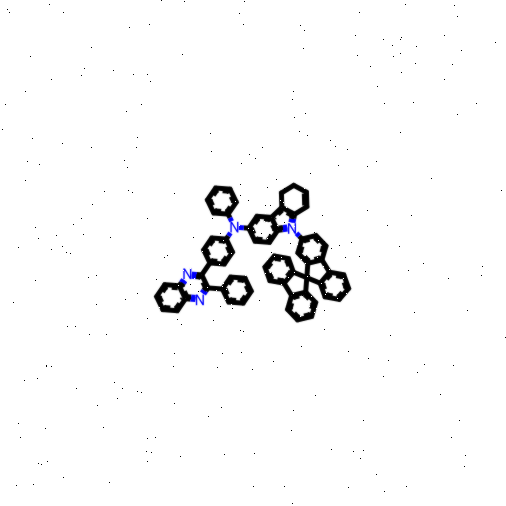 C1=Cc2c(c3cc(N(c4ccccc4)c4ccc(-c5nc6ccccc6nc5-c5ccccc5)cc4)ccc3n2-c2ccc3c(c2)C2(c4ccccc4-c4ccccc42)c2ccccc2-3)CC1